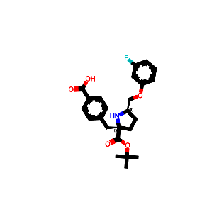 CC(C)(C)OC(=O)[C@@]1(Cc2ccc(C(=O)O)cc2)CC[C@H](COc2cccc(F)c2)N1